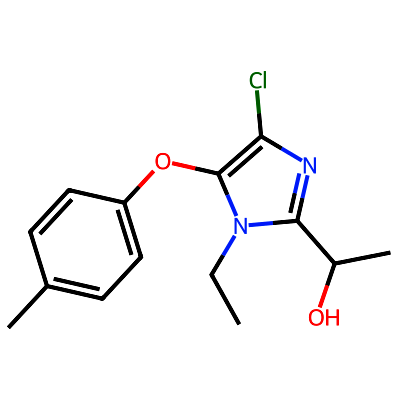 CCn1c(C(C)O)nc(Cl)c1Oc1ccc(C)cc1